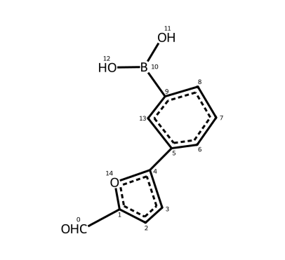 O=Cc1ccc(-c2cccc(B(O)O)c2)o1